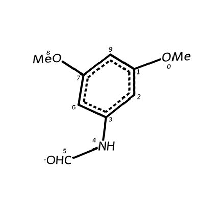 COc1cc(N[C]=O)cc(OC)c1